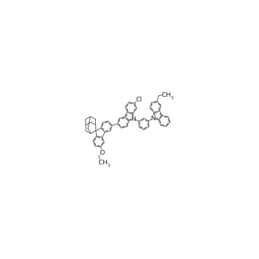 CCOc1ccc2c(c1)-c1cc(-c3ccc4c(c3)c3ccc(Cl)cc3n4-c3cccc(-n4c5ccccc5c5cc(CC)ccc54)c3)ccc1C21C2CC3CC(C2)CC1C3